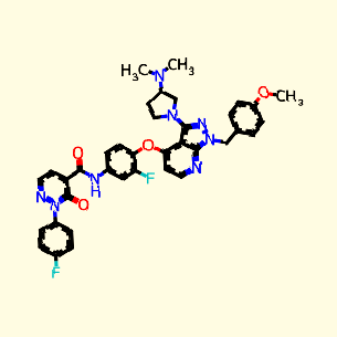 COc1ccc(Cn2nc(N3CCC(N(C)C)C3)c3c(Oc4ccc(NC(=O)c5ccnn(-c6ccc(F)cc6)c5=O)cc4F)ccnc32)cc1